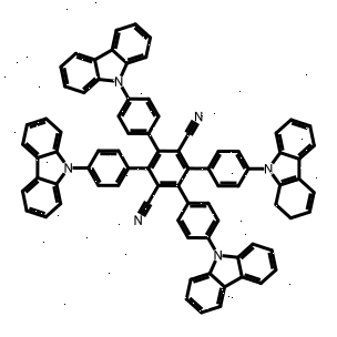 N#Cc1c(-c2ccc(-n3c4c(c5ccccc53)C=CCC4)cc2)c(-c2ccc(-n3c4ccccc4c4ccccc43)cc2)c(C#N)c(-c2ccc(-n3c4ccccc4c4ccccc43)cc2)c1-c1ccc(-n2c3ccccc3c3ccccc32)cc1